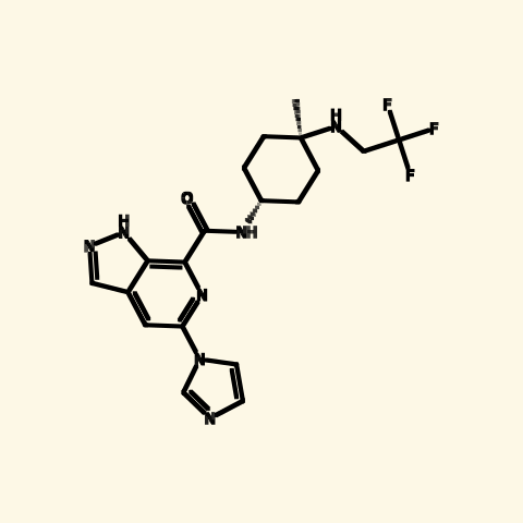 C[C@]1(NCC(F)(F)F)CC[C@H](NC(=O)c2nc(-n3ccnc3)cc3cn[nH]c23)CC1